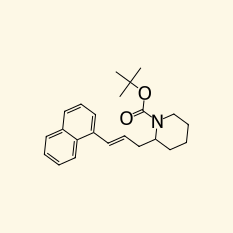 CC(C)(C)OC(=O)N1CCCCC1CC=Cc1cccc2ccccc12